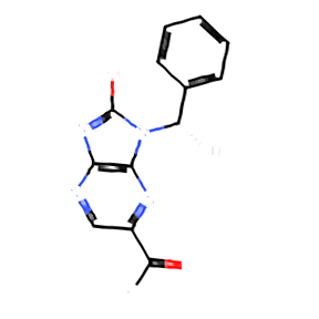 CC(=O)c1cnc2nc(O)n([C@@H](C)c3ccccc3)c2n1